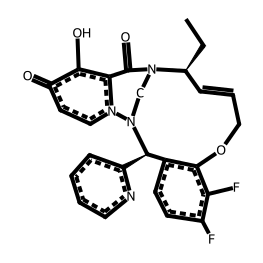 CC[C@H]1/C=C/COc2c(ccc(F)c2F)[C@@H](c2ccccn2)N2CN1C(=O)c1c(O)c(=O)ccn12